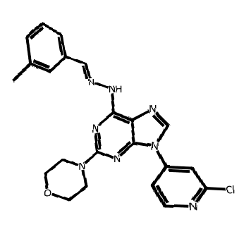 Cc1cccc(/C=N/Nc2nc(N3CCOCC3)nc3c2ncn3-c2ccnc(Cl)c2)c1